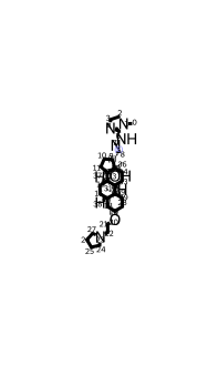 CN1CCN=C1N/N=C/[C@H]1CC[C@]2(O)[C@@H]3CC[C@@H]4C[C@@H](OCCN5CCCC5)CC[C@]4(C)[C@H]3CC[C@]12C